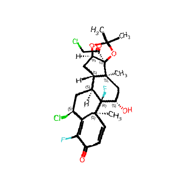 CC1(C)O[C@@H]2C[C@H]3[C@@H]4C[C@H](Cl)C5=C(F)C(=O)C=C[C@]5(C)[C@@]4(F)[C@@H](O)C[C@]3(C)[C@]2(C(=O)CCl)O1